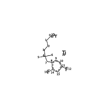 CC(C)CCCC(C)(C)Cc1ccc(F)[c]c1F.[Ti]